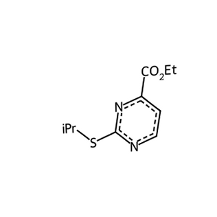 CCOC(=O)c1ccnc(SC(C)C)n1